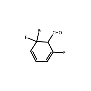 O=CC1C(F)=CC=CC1(F)Br